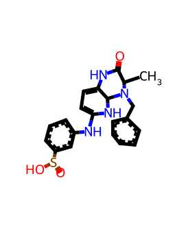 CC1C(=O)NC2=CC=C(Nc3cccc(S(=O)O)c3)NC2N1Cc1ccccc1